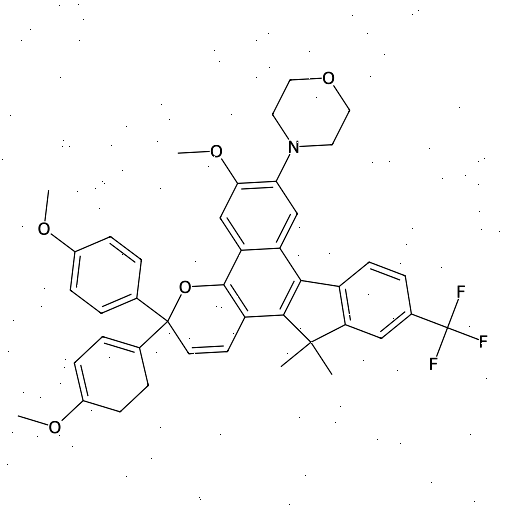 COC1=CC=C(C2(c3ccc(OC)cc3)C=Cc3c4c(c5cc(N6CCOCC6)c(OC)cc5c3O2)-c2ccc(C(F)(F)F)cc2C4(C)C)CC1